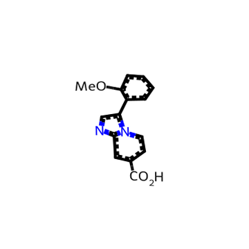 COc1ccccc1-c1cnc2cc(C(=O)O)ccn12